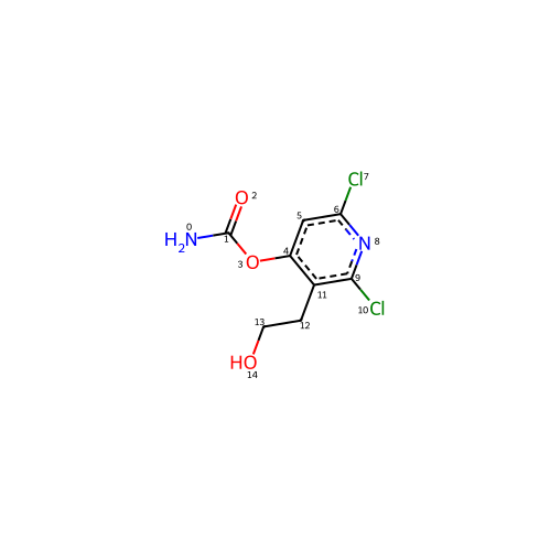 NC(=O)Oc1cc(Cl)nc(Cl)c1CCO